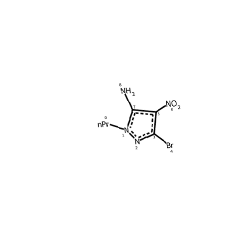 CCCn1nc(Br)c([N+](=O)[O-])c1N